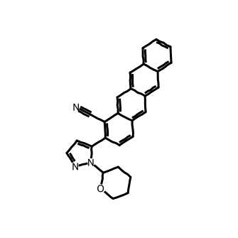 N#Cc1c(-c2ccnn2C2CCCCO2)ccc2cc3cc4ccccc4cc3cc12